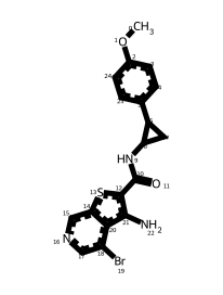 COc1ccc(C2CC2NC(=O)c2sc3cncc(Br)c3c2N)cc1